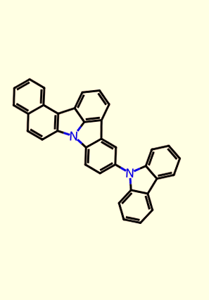 c1ccc2c(c1)ccc1c2c2cccc3c4cc(-n5c6ccccc6c6ccccc65)ccc4n1c32